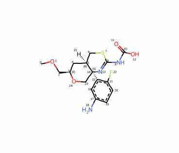 COC[C@H]1C[C@H]2CSC(NC(=O)O)=N[C@@]2(c2cc(N)ccc2F)CO1